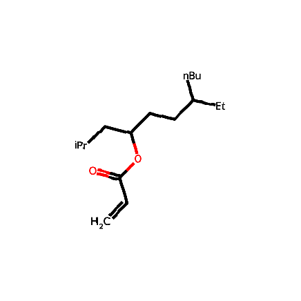 C=CC(=O)OC(CCC(CC)CCCC)CC(C)C